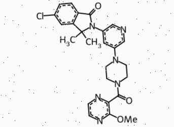 COc1nccnc1C(=O)N1CCN(c2cncc(N3C(=O)c4ccc(Cl)cc4C3(C)C)c2)CC1